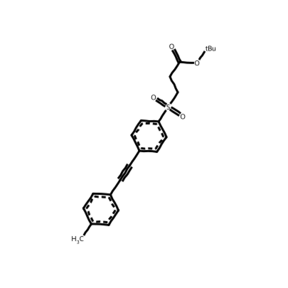 Cc1ccc(C#Cc2ccc(S(=O)(=O)CCC(=O)OC(C)(C)C)cc2)cc1